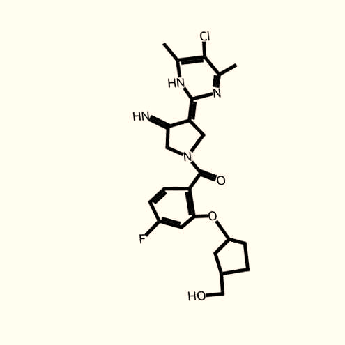 CC1=N/C(=C2\CN(C(=O)c3ccc(F)cc3OC3CCC(CO)C3)CC2=N)NC(C)=C1Cl